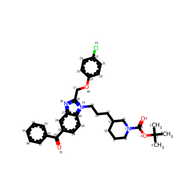 CC(C)(C)OC(=O)N1CCCC(CCCn2c(COc3ccc(Cl)cc3)nc3cc(C(=O)c4ccccc4)ccc32)C1